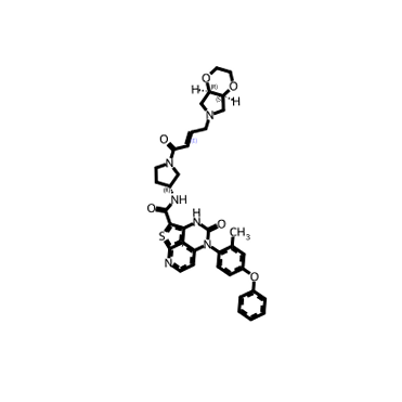 Cc1cc(Oc2ccccc2)ccc1N1C(=O)Nc2c(C(=O)N[C@@H]3CCN(C(=O)/C=C/CN4C[C@@H]5OCCO[C@@H]5C4)C3)sc3nccc1c23